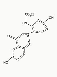 CCOC(=O)Nc1cc(O)ccc1-c1cc(=O)c2cc(O)cnc2o1